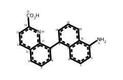 Nc1cccc2c(-c3cccc4ccc(C(=O)O)nc34)cccc12